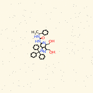 C[C@@H](NC(=O)Nc1cc2c(c(CO)n1)c(CO)nn2C(c1ccccc1)(c1ccccc1)c1ccccc1)c1ccccc1